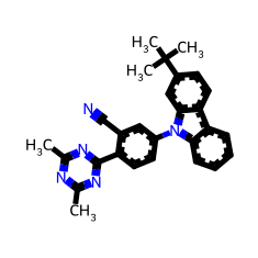 Cc1nc(C)nc(-c2ccc(-n3c4ccccc4c4ccc(C(C)(C)C)cc43)cc2C#N)n1